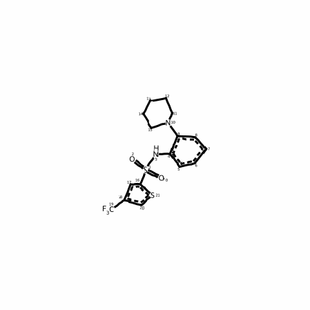 O=S(=O)(Nc1ccccc1N1CCCCC1)c1cc(C(F)(F)F)cs1